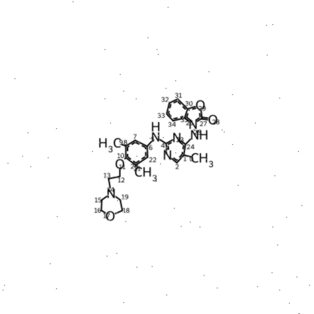 Cc1cnc(Nc2cc(C)c(OCCN3CCOCC3)c(C)c2)nc1Nn1c(=O)oc2ccccc21